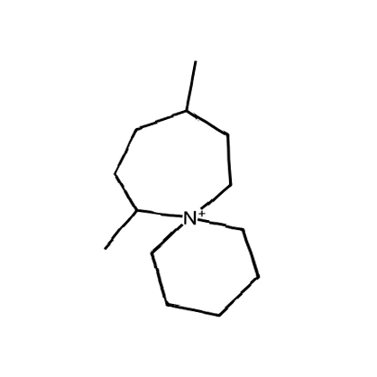 CC1CCC(C)[N+]2(CCCCC2)CC1